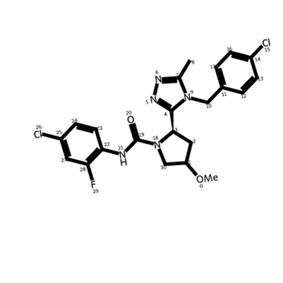 COC1C[C@H](c2nnc(C)n2Cc2ccc(Cl)cc2)N(C(=O)Nc2ccc(Cl)cc2F)C1